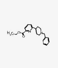 CCOC(=O)c1cccc(C2=CCN(Cc3ccccc3)CC2)n1